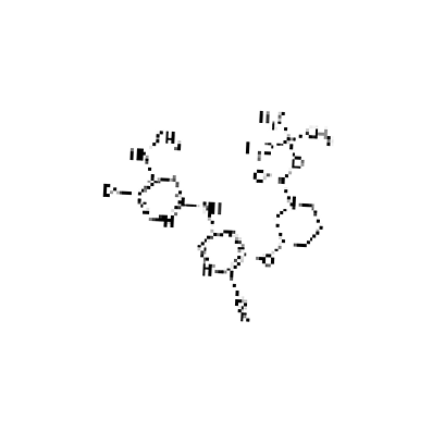 CNc1nc(Nc2cnc(C#N)c(OC3CCCN(C(=O)OC(C)(C)C)C3)c2)ncc1Br